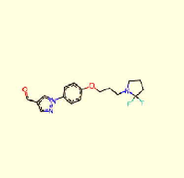 O=Cc1cnn(-c2ccc(OCCCN3CCCC3(F)F)cc2)c1